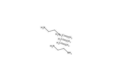 C=C.C=C.C=C.NCCN.NCCN